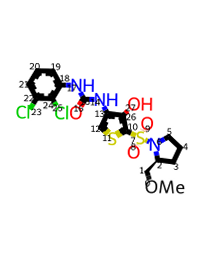 COC[C@@H]1CCCN1S(=O)(=O)c1scc(NC(=O)Nc2cccc(Cl)c2Cl)c1O